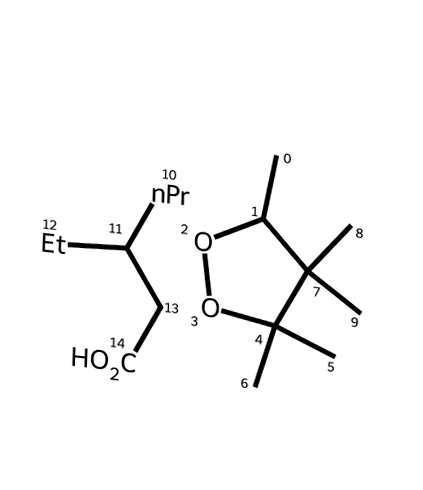 CC1OOC(C)(C)C1(C)C.CCCC(CC)CC(=O)O